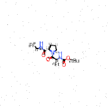 CC[C@H](NC(=O)OC(C)(C)C)C(=O)N1CCC[C@H]1C(=O)NCC(C)C